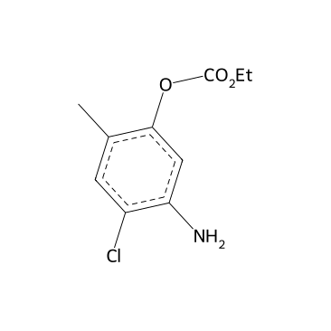 CCOC(=O)Oc1cc(N)c(Cl)cc1C